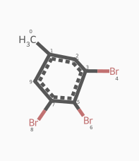 Cc1[c]c(Br)c(Br)c(Br)c1